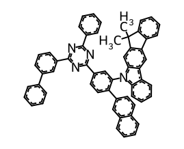 CC1(C)c2ccccc2-c2cc3c4ccccc4n(-c4cc(-c5nc(-c6ccccc6)nc(-c6cccc(-c7ccccc7)c6)n5)ccc4-c4ccc5ccccc5c4)c3cc21